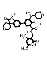 CCCN1C(=O)C2(CCOCC2)c2ccc(-c3cc(C(=O)NCc4c(C)cc(C)[nH]c4=O)c(C)c(N(CC)C4CCOCC4)c3)cc21